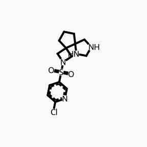 O=S(=O)(c1ccc(Cl)nc1)N1CC2(CCCC23CNCN3)C1